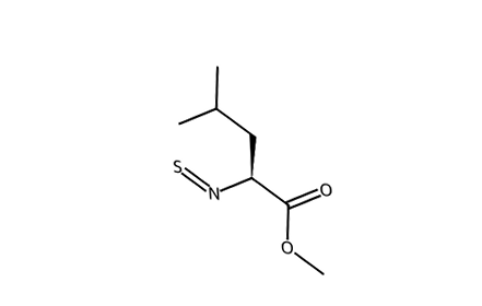 COC(=O)[C@H](CC(C)C)N=S